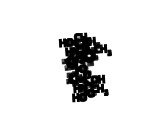 Cc1ccc(C[C@@]2(C(=O)NC(C(N)=O)C(C)O)CCCN2C(=O)[C@@H]2CCCN2C(=O)C(NC(=O)O)C(C)O)cc1